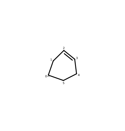 [C]1CC=CCC1